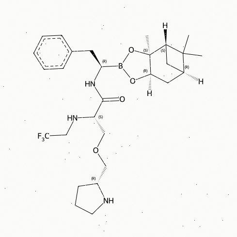 CC1(C)[C@H]2C[C@H]3OB([C@H](Cc4ccccc4)NC(=O)[C@H](COC[C@H]4CCCN4)NCC(F)(F)F)O[C@@]3(C)[C@H]1C2